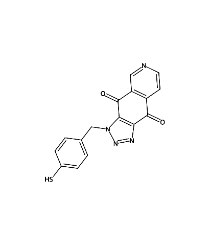 O=C1c2ccncc2C(=O)c2c1nnn2Cc1ccc(S)cc1